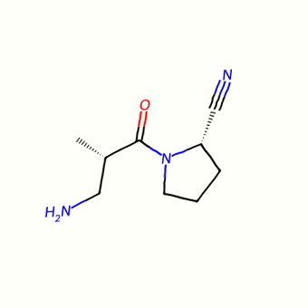 C[C@@H](CN)C(=O)N1CCC[C@H]1C#N